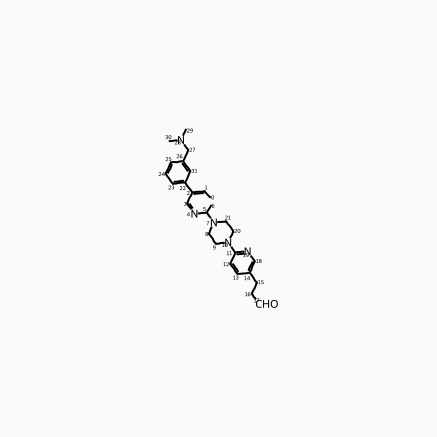 C/C=C(\C=N/C(C)N1CCN(c2ccc(CCC=O)cn2)CC1)c1cccc(CN(C)C)c1